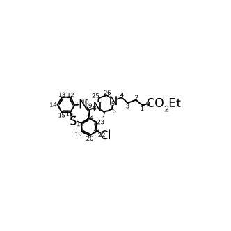 CCOC(=O)CCCCN1CCN(C2=Nc3ccccc3Sc3ccc(Cl)cc32)CC1